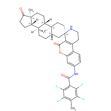 Cc1c(F)c(F)c(C(=O)Nc2ccc3c4c(c(=O)oc3c2)[C@]2(CC[C@@]3(C)[C@@H](CC[C@@H]5[C@@H]3CC[C@]3(C)C(=O)CC[C@@H]53)C2)NCC4)c(F)c1F